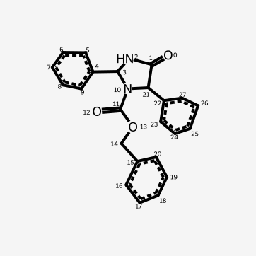 O=C1NC(c2ccccc2)N(C(=O)OCc2ccccc2)C1c1ccccc1